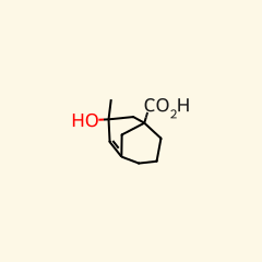 CC1(O)C=C2CCCC(C(=O)O)(C2)C1